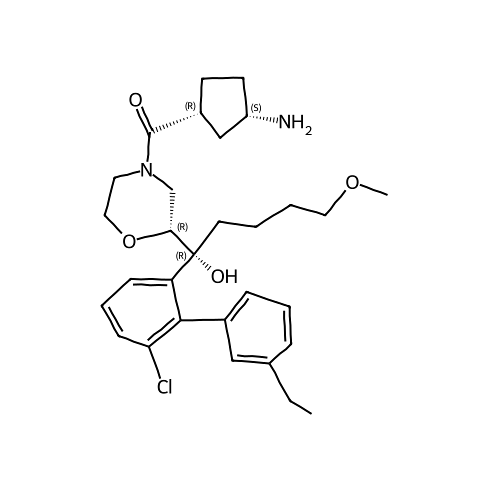 CCc1cccc(-c2c(Cl)cccc2[C@](O)(CCCCOC)[C@H]2CN(C(=O)[C@@H]3CC[C@H](N)C3)CCO2)c1